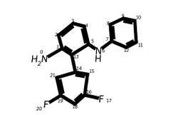 Nc1cccc(Nc2ccccc2)c1-c1cc(F)cc(F)c1